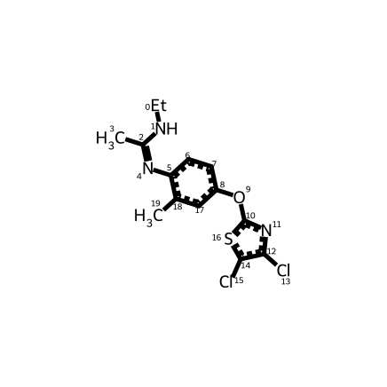 CCNC(C)=Nc1ccc(Oc2nc(Cl)c(Cl)s2)cc1C